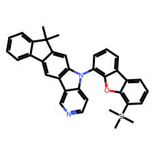 CC1(C)c2ccccc2-c2cc3c4cnccc4n(-c4cccc5c4oc4c([Si](C)(C)C)cccc45)c3cc21